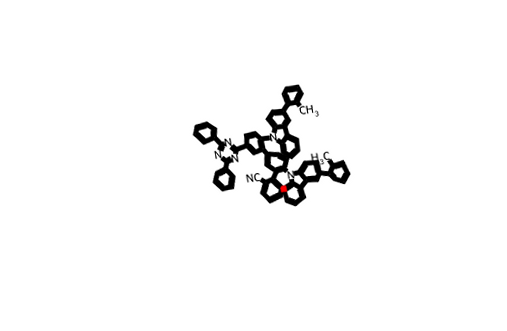 Cc1ccccc1-c1ccc2c(c1)c1ccccc1n2-c1ccc(-c2nc(-c3ccccc3)nc(-c3ccccc3)n2)cc1-c1ccc(-n2c3ccccc3c3cc(-c4ccccc4C)ccc32)c(-c2ccccc2C#N)c1